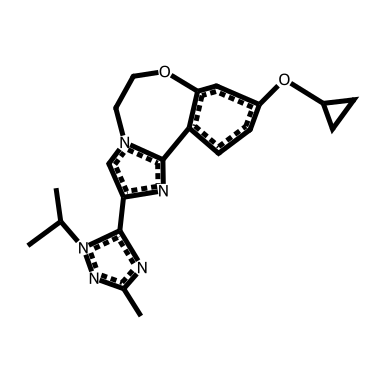 Cc1nc(-c2cn3c(n2)-c2ccc(OC4CC4)cc2OCC3)n(C(C)C)n1